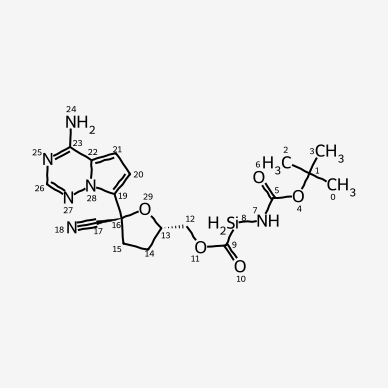 CC(C)(C)OC(=O)N[SiH2]C(=O)OC[C@@H]1CC[C@](C#N)(c2ccc3c(N)ncnn23)O1